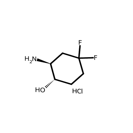 Cl.N[C@H]1CC(F)(F)CC[C@@H]1O